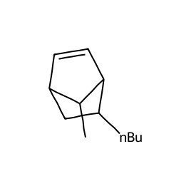 CCCCC1CC2C=CC1C2C